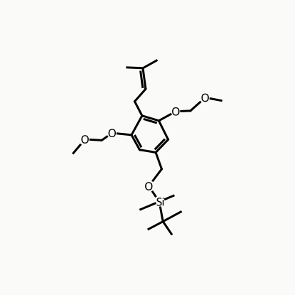 COCOc1cc(CO[Si](C)(C)C(C)(C)C)cc(OCOC)c1CC=C(C)C